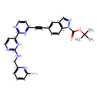 CC(C)(C)OC(=O)n1ncc2cc(C#Cc3ccnc(-c4ccnc(NCc5cccc(F)n5)n4)n3)ccc21